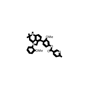 COc1cc(OC(=O)c2ccc(C)nc2)ccc1-c1ccc2c3c1CN(c1ccccc1OC)C3=CC(C)(C)N2C